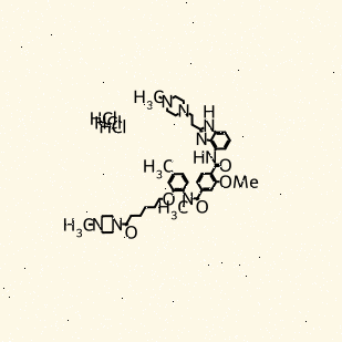 COc1cc(C(=O)N(C)c2ccc(C)cc2OCCCCCC(=O)N2CCN(C)CC2)ccc1C(=O)Nc1cccc2[nH]c(CCN3CCN(C)CC3)nc12.Cl.Cl.Cl